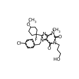 COC1CCC(F)(c2nc3c(c(=O)n(CCCO)c(=O)n3C)n2Cc2ccc(Cl)cc2)CC1